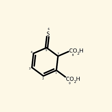 O=C(O)C1=CC=CC(=S)C1C(=O)O